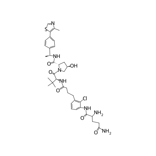 Cc1ncsc1-c1ccc([C@H](C)NC(=O)[C@@H]2C[C@@H](O)CN2C(=O)[C@@H](NC(=O)CCCc2cccc(NC(=O)C(N)CCC(N)=O)c2Cl)C(C)(C)C)cc1